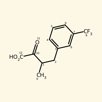 CC(Cc1cccc(C(F)(F)F)c1)C(=O)C(=O)O